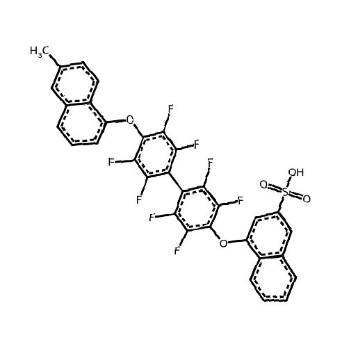 Cc1ccc2c(Oc3c(F)c(F)c(-c4c(F)c(F)c(Oc5cc(S(=O)(=O)O)cc6ccccc56)c(F)c4F)c(F)c3F)cccc2c1